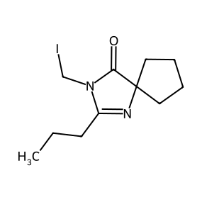 CCCC1=NC2(CCCC2)C(=O)N1CI